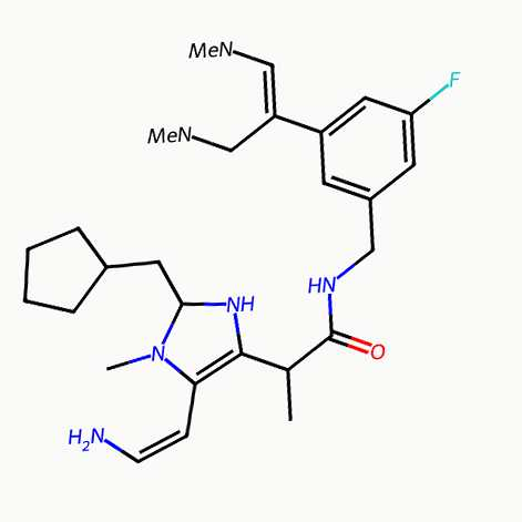 CN/C=C(\CNC)c1cc(F)cc(CNC(=O)C(C)C2=C(/C=C\N)N(C)C(CC3CCCC3)N2)c1